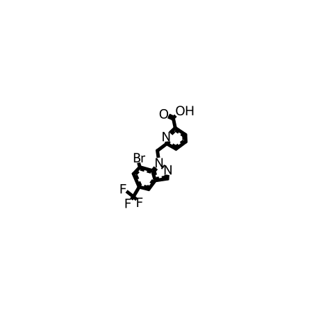 O=C(O)c1cccc(Cn2ncc3cc(C(F)(F)F)cc(Br)c32)n1